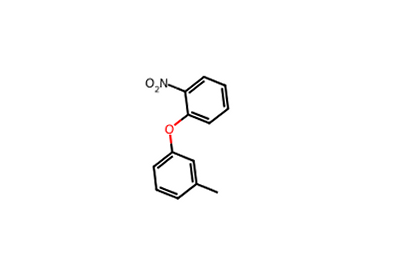 Cc1cccc(Oc2ccccc2[N+](=O)[O-])c1